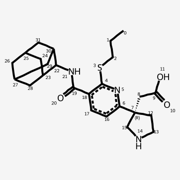 CCCSc1nc([C@@]2(CC(=O)O)CCNC2)ccc1C(=O)NC1C2CC3CC(C2)CC1C3